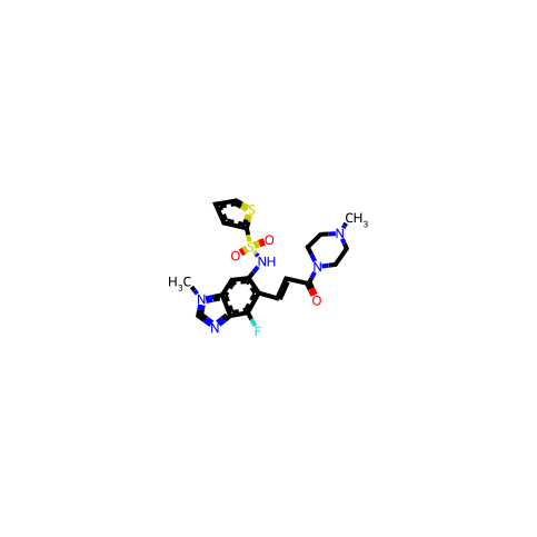 CN1CCN(C(=O)/C=C/c2c(NS(=O)(=O)c3cccs3)cc3c(ncn3C)c2F)CC1